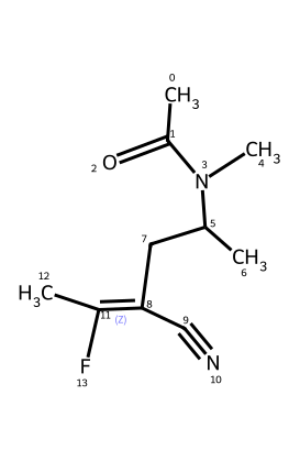 CC(=O)N(C)C(C)C/C(C#N)=C(\C)F